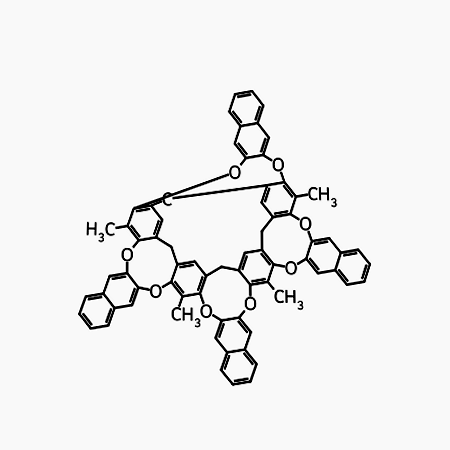 Cc1c2c3cc4c1Oc1cc5ccccc5cc1Oc1c(cc5c(c1C)Oc1cc6ccccc6cc1Oc1c(cc6c(c1C)Oc1cc7ccccc7cc1Oc1c(cc(c(c1C)Oc1cc7ccccc7cc1O2)C3)C6)C5)C4